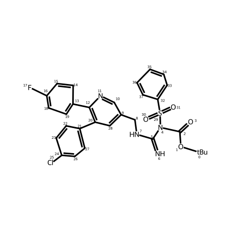 CC(C)(C)OC(=O)N(C(=N)NCc1cnc(-c2ccc(F)cc2)c(-c2ccc(Cl)cc2)c1)S(=O)(=O)c1ccccc1